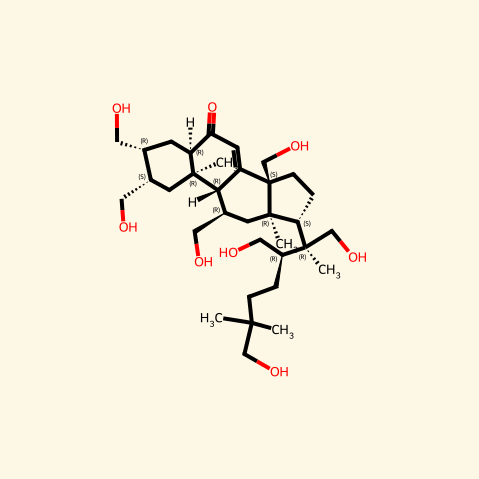 CC(C)(CO)CC[C@@H](CO)[C@](C)(CO)[C@H]1CC[C@@]2(CO)C3=CC(=O)[C@@H]4C[C@@H](CO)[C@@H](CO)C[C@]4(C)[C@H]3[C@H](CO)C[C@]12C